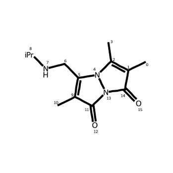 Cc1c(C)n2c(CNC(C)C)c(C)c(=O)n2c1=O